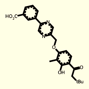 Cc1c(OCc2cnc(-c3cccc(C(=O)O)c3)cn2)ccc(C(=O)CC(C)(C)C)c1O